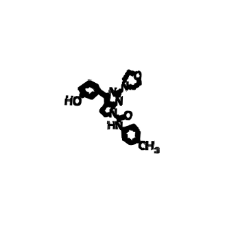 Cc1ccc(NC(=O)N2CCc3c(-c4cccc(O)c4)nc(N4CCOCC4)nc32)cc1